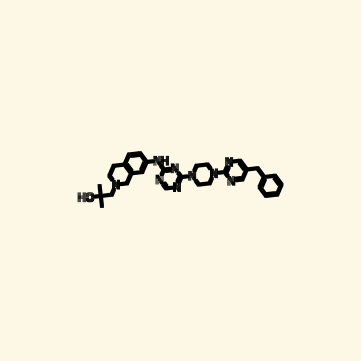 CC(C)(O)CN1CCc2ccc(Nc3ncnc(N4CCN(c5ncc(Cc6ccccc6)cn5)CC4)n3)cc2C1